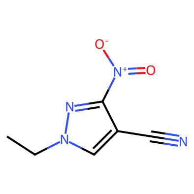 CCn1cc(C#N)c([N+](=O)[O-])n1